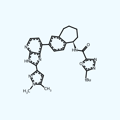 Cc1cc(-c2nc3c(-c4ccc5c(c4)CCCC[C@H]5NC(=O)c4nnc(C(C)(C)C)o4)ccnc3[nH]2)nn1C